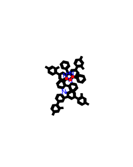 Cc1ccc(-c2ccc3c(c2)c2cc(-c4ccc(C)cc4C)ccc2n3-c2ccccc2-c2c(-c3cc(-c4ccccc4)nc(-c4ccccc4)n3)cccc2-n2c3ccc(-c4ccc(C)cc4C)cc3c3cc(-c4ccc(C)cc4C)ccc32)c(C)c1